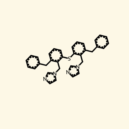 c1ccc(Cc2cccc(Sc3cccc(Cc4ccccc4)c3Cn3ccnc3)c2Cn2ccnc2)cc1